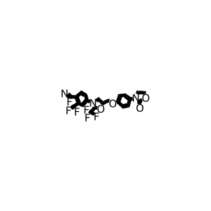 N#Cc1ccc(N2CC(COc3ccc(N4CCOC4=O)cc3)OC2C(F)(F)F)cc1C(F)(F)F